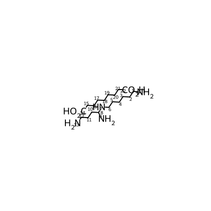 NCCCCCCNC(N)CCCN.O=C(O)CCCCCCCC(=O)O